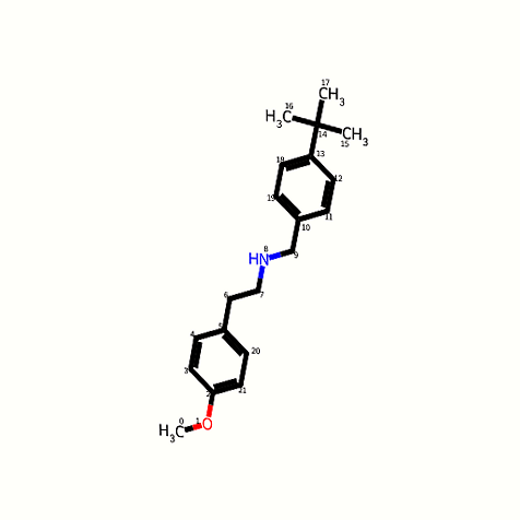 COc1ccc(CCNCc2ccc(C(C)(C)C)cc2)cc1